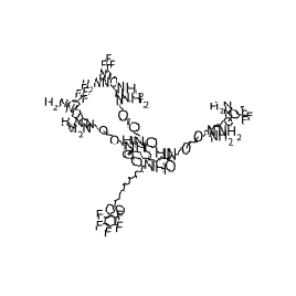 N/C(=C\N(N)CCOCCOCCNC(=O)CCC(CCC(=O)NCCOCCOCCN(N)/C=C(\N)COc1cc(C(F)(F)F)cc(N)n1)(CCC(=O)NCCOCCOCCN(N)/C=C(\N)COc1cc(C(F)(F)F)nc(N)n1)NC(=O)CCCCCCCCCCC(=O)Oc1c(F)c(F)c(F)c(F)c1F)COc1cc(C(F)(F)F)cc(N)n1